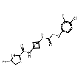 CCC1CSC(C(=O)NC23CC(NC(=O)COc4ccc(Cl)c(F)c4)(C2)C3)N1